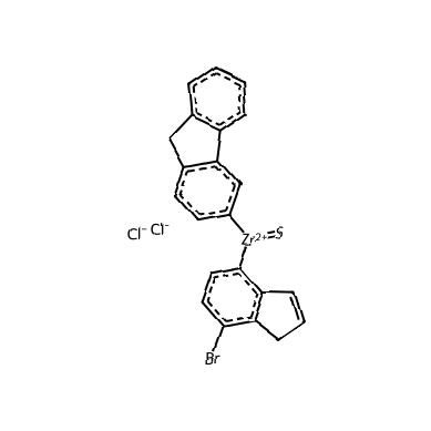 [Cl-].[Cl-].[S]=[Zr+2]([c]1ccc2c(c1)-c1ccccc1C2)[c]1ccc(Br)c2c1C=CC2